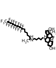 CC(CCCCCC(F)(F)C(F)(F)C(F)(F)C(F)(F)C(F)(F)C(F)(F)C(F)(F)C(F)(F)F)NCCCCC[C@@H]1Cc2cc(O)ccc2[C@@H]2[C@@H]1[C@@H]1CC[C@H](O)[C@@]1(C)C[C@@H]2F